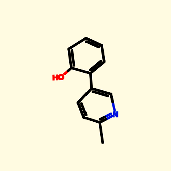 Cc1ccc(-c2ccccc2O)cn1